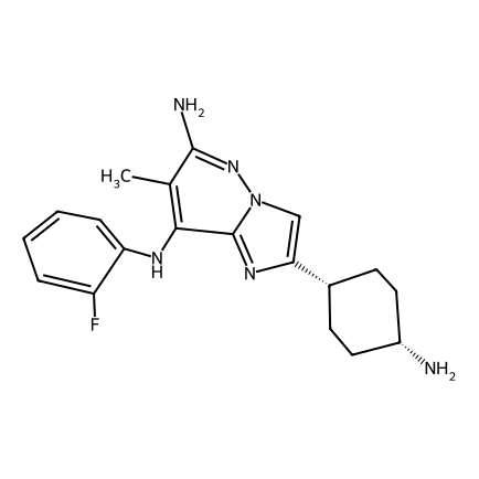 Cc1c(N)nn2cc([C@H]3CC[C@@H](N)CC3)nc2c1Nc1ccccc1F